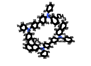 Cc1cccc(N(c2ccccc2)c2ccc(-c3ccc(N(c4ccccc4)c4ccc(-c5cccc6cc(N(c7ccccc7)c7ccc(-c8ccc(N(c9ccccc9)c9ccc%10ccccc%10c9)cc8)cc7)ccc56)c(C)c4)cc3)cc2)c1